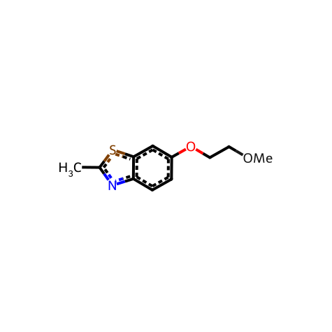 COCCOc1ccc2nc(C)sc2c1